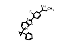 CCC(O)c1ccc(-c2nc3ccc(C4(c5ccccc5)CC4)nc3s2)c(F)c1